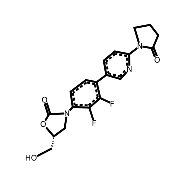 O=C1CCCN1c1ccc(-c2ccc(N3C[C@H](CO)OC3=O)c(F)c2F)cn1